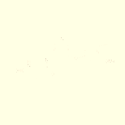 COc1cc(Oc2cncc(N(C)C(=O)C(C)NC=O)c2)ccc1C